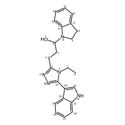 CCn1c(SCC(O)N2CCc3ccccc32)nnc1-c1c[nH]c2ccccc12